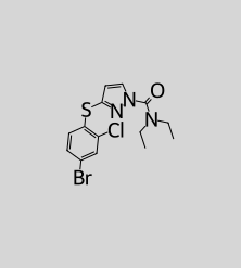 CCN(CC)C(=O)n1ccc(Sc2ccc(Br)cc2Cl)n1